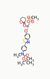 CN(C(=O)OC(C)(C)C)c1ccc(-c2nc3ccc(OC[C@@H](COS(C)(=O)=O)O[C@@H]4CCCCO4)cc3s2)cc1